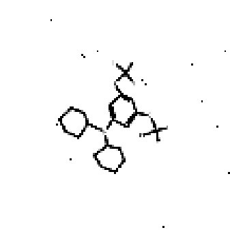 FC(F)(F)Oc1cc(OC(F)(F)F)cc(P(C2CCCCC2)C2CCCCC2)c1